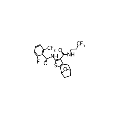 O=C(Nc1sc2c(c1C(=O)NCCC(F)(F)F)CC1CCC2O1)c1c(F)cccc1C(F)(F)F